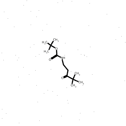 CC(C)(C)OC(=O)NCCC(=O)C(C)(C)C